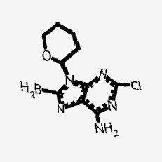 Bc1nc2c(N)nc(Cl)nc2n1C1CCCCO1